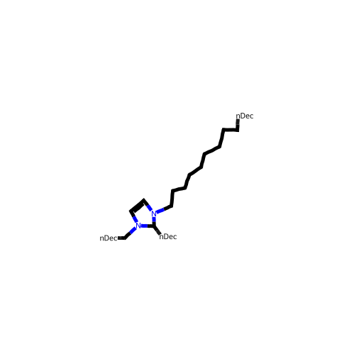 CCCCCCCCCCCCCCCCCCCN1C=CN(CCCCCCCCCCC)C1CCCCCCCCCC